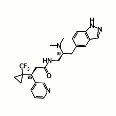 CN(C)[C@H](CNC(=O)C[C@@H](c1cccnc1)C1(C(F)(F)F)CC1)Cc1ccc2[nH]ncc2c1